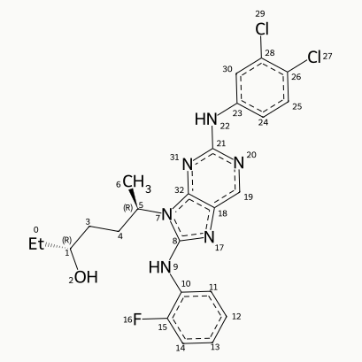 CC[C@@H](O)CC[C@@H](C)n1c(Nc2ccccc2F)nc2cnc(Nc3ccc(Cl)c(Cl)c3)nc21